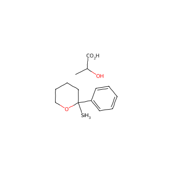 CC(O)C(=O)O.[SiH3]C1(c2ccccc2)CCCCO1